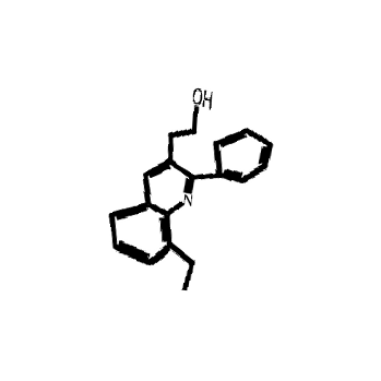 CCc1cccc2cc(CCO)c(-c3ccccc3)nc12